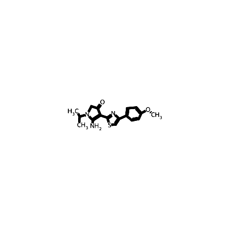 COc1ccc(-c2csc(C3=C(N)N(C(C)C)CC3=O)n2)cc1